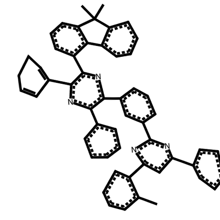 Cc1ccccc1-c1cc(-c2ccccc2)nc(-c2cccc(-c3nc(-c4cccc5c4-c4ccccc4C5(C)C)c(C4=CCCC=C4)nc3-c3ccccc3)c2)n1